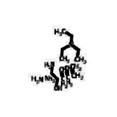 C=C.C=C.C=C.CCN(CC)CC.N.N.NCCO